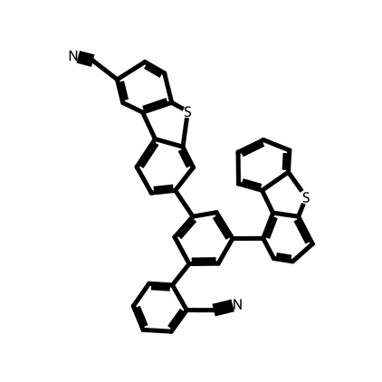 N#Cc1ccc2sc3cc(-c4cc(-c5ccccc5C#N)cc(-c5cccc6sc7ccccc7c56)c4)ccc3c2c1